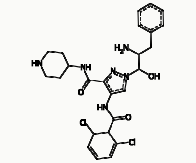 NC(Cc1ccccc1)C(O)n1cc(NC(=O)C2C(Cl)=CC=CC2Cl)c(C(=O)NC2CCNCC2)n1